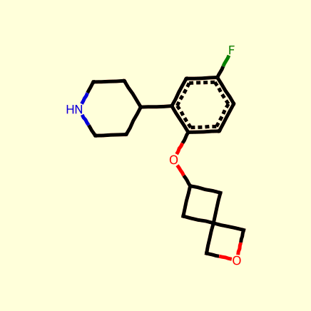 Fc1ccc(OC2CC3(COC3)C2)c(C2CCNCC2)c1